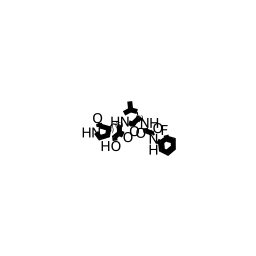 CC(C)C[C@H](NC(=O)C(=O)Nc1ccccc1F)C(=O)N[C@@H](C[C@@H]1CCNC1=O)C(=O)CO